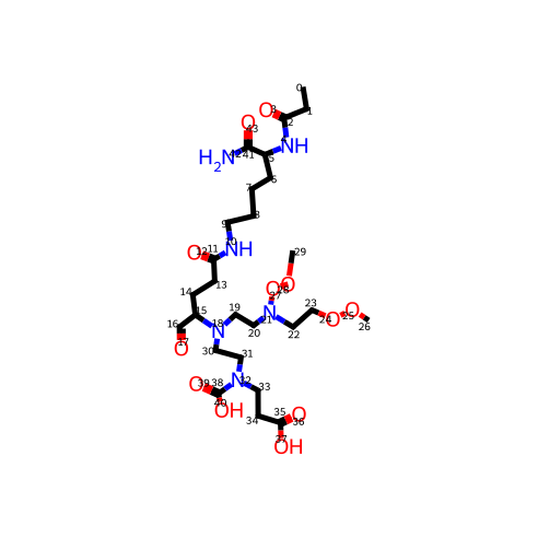 CCC(=O)NC(CCCCNC(=O)CCC(C=O)N(CCN(CCOOC)OOC)CCN(CCC(=O)O)C(=O)O)C(N)=O